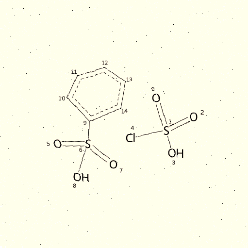 O=S(=O)(O)Cl.O=S(=O)(O)c1ccccc1